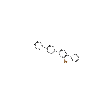 Brc1cc(-c2ccc(-c3ccccc3)cc2)ccc1-c1ccccc1